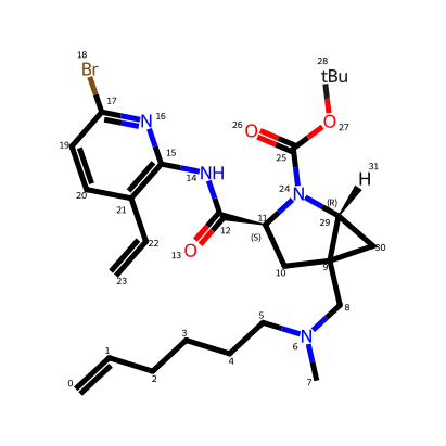 C=CCCCCN(C)CC12C[C@@H](C(=O)Nc3nc(Br)ccc3C=C)N(C(=O)OC(C)(C)C)[C@@H]1C2